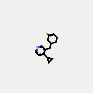 FC1=CCCC(Cc2cnccc2C2CC2)C1